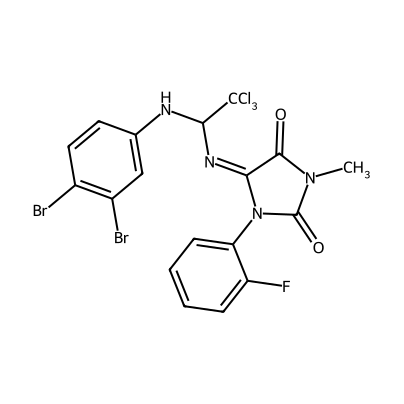 CN1C(=O)C(=NC(Nc2ccc(Br)c(Br)c2)C(Cl)(Cl)Cl)N(c2ccccc2F)C1=O